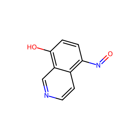 O=Nc1ccc(O)c2cnccc12